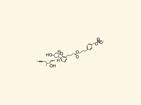 CC#CCC(C)[C@@H](O)/C=C/[C@H]1[C@@H]2c3cccc(CCCC(=O)OCCCc4ccc(CO[N+](=O)[O-])cc4)c3O[C@@H]2C[C@@H]1O